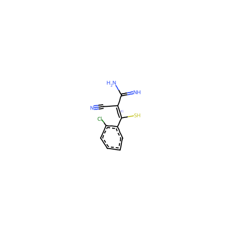 N#C/C(C(=N)N)=C(/S)c1ccccc1Cl